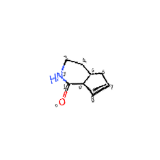 O=C1NCCC2CC=CC12